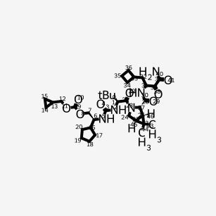 CC(C)(C)[C@H](NC(=O)N[C@H](COC(=O)OCC1CC1)C1CCCC1)C(=O)N1C[C@H]2[C@@H]([C@H]1C(=O)NC(CC1CCC1)C(=O)C(N)=O)C2(C)C